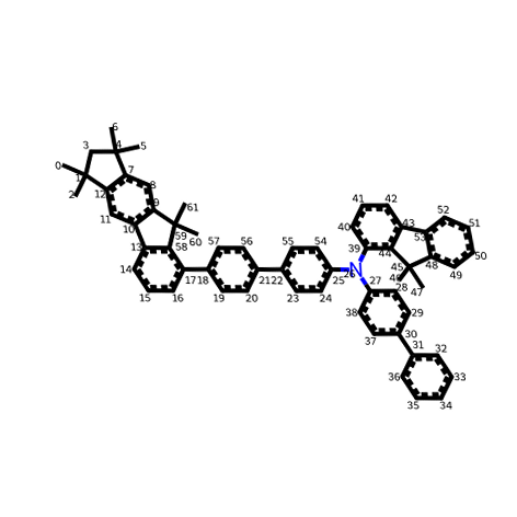 CC1(C)CC(C)(C)c2cc3c(cc21)-c1cccc(-c2ccc(-c4ccc(N(c5ccc(-c6ccccc6)cc5)c5cccc6c5C(C)(C)c5ccccc5-6)cc4)cc2)c1C3(C)C